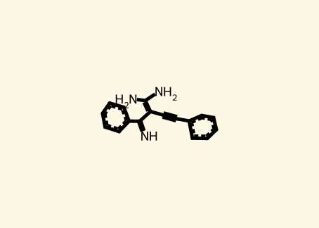 N=C(C(C#Cc1ccccc1)=C(N)N)c1ccccc1